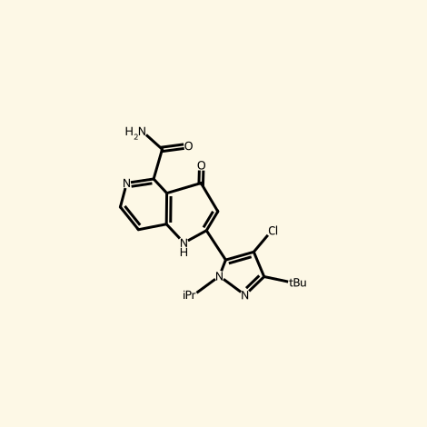 CC(C)n1nc(C(C)(C)C)c(Cl)c1-c1cc(=O)c2c(C(N)=O)nccc2[nH]1